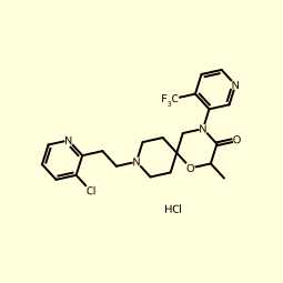 CC1OC2(CCN(CCc3ncccc3Cl)CC2)CN(c2cnccc2C(F)(F)F)C1=O.Cl